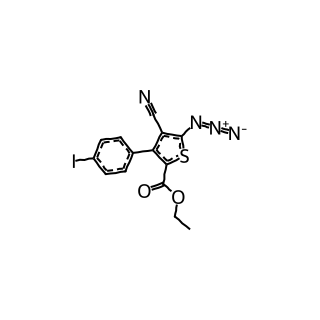 CCOC(=O)c1sc(N=[N+]=[N-])c(C#N)c1-c1ccc(I)cc1